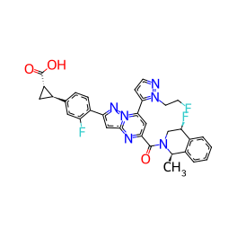 C[C@@H]1c2ccccc2[C@H](F)CN1C(=O)c1cc(-c2ccnn2CCF)n2nc(-c3ccc([C@H]4C[C@@H]4C(=O)O)cc3F)cc2n1